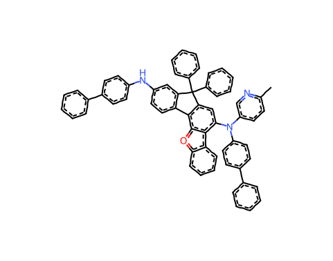 Cc1ccc(N(c2ccc(-c3ccccc3)cc2)c2cc3c(c4oc5ccccc5c24)-c2ccc(Nc4ccc(-c5ccccc5)cc4)cc2C3(c2ccccc2)c2ccccc2)cn1